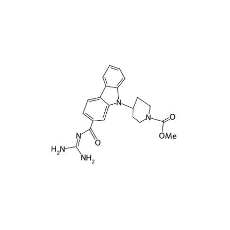 COC(=O)N1CCC(n2c3ccccc3c3ccc(C(=O)N=C(N)N)cc32)CC1